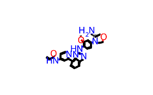 C=CC(=O)Nc1ccnc(-c2cccc3cnc(Nc4ccc(N5CCOC[C@@H]5CN)cc4OC)nc23)c1